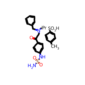 CC(C)N(CC(=O)c1ccc(NS(N)(=O)=O)cc1)Cc1ccccc1.Cc1ccc(S(=O)(=O)O)cc1